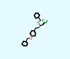 FC(F)=C[C@@H](CCc1ccc(OCc2ccccc2)cc1)SCc1ccccc1